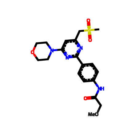 COCC(=O)Nc1ccc(-c2nc(CS(C)(=O)=O)cc(N3CCOCC3)n2)cc1